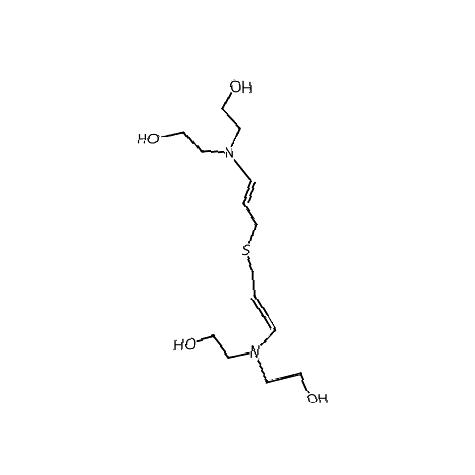 OCCN(C=CCSCC=CN(CCO)CCO)CCO